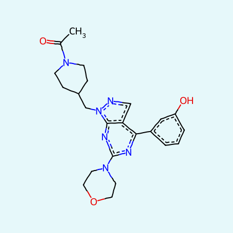 CC(=O)N1CCC(Cn2ncc3c(-c4cccc(O)c4)nc(N4CCOCC4)nc32)CC1